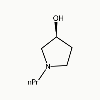 C[CH]CN1CC[C@H](O)C1